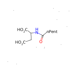 CCCCCC(=O)NC(CC(=O)O)C(=O)O